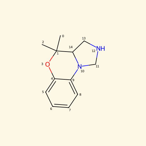 CC1(C)Oc2ccccc2N2CNCC21